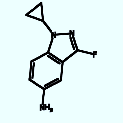 Nc1ccc2c(c1)c(F)nn2C1CC1